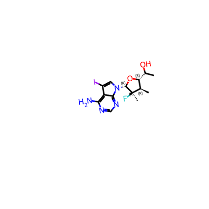 CC(O)[C@H]1O[C@@H](n2cc(I)c3c(N)ncnc32)[C@](C)(F)[C@@H]1C